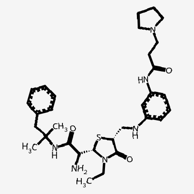 CCN1C(=O)[C@@H](CNc2cccc(NC(=O)CCN3CCCC3)c2)S[C@H]1C(N)C(=O)NC(C)(C)Cc1ccccc1